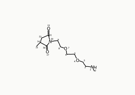 CNCCOCCOCCN1C(=O)CC(C)C1=O